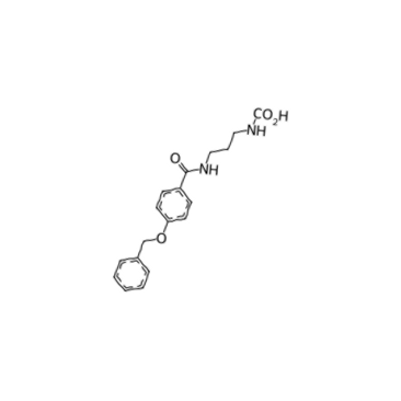 O=C(O)NCCCNC(=O)c1ccc(OCc2ccccc2)cc1